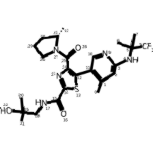 Cc1cc(NC(C)(C)C(F)(F)F)ncc1-c1sc(C(=O)NCC(C)(C)O)nc1C(=O)N1CCC[C@@H]1C